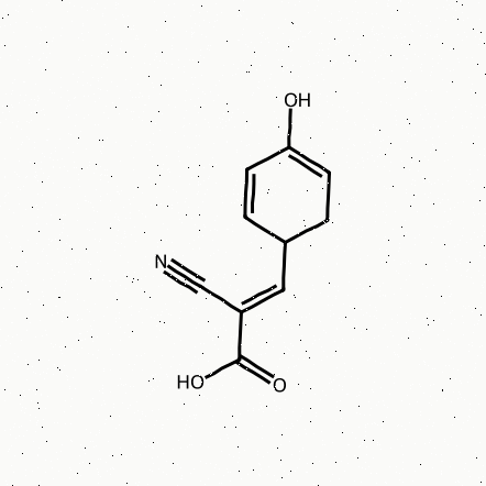 N#C/C(=C\C1C=CC(O)=CC1)C(=O)O